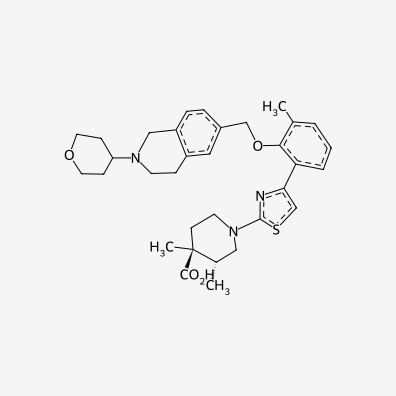 Cc1cccc(-c2csc(N3CC[C@](C)(C(=O)O)[C@@H](C)C3)n2)c1OCc1ccc2c(c1)CCN(C1CCOCC1)C2